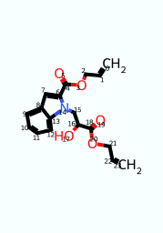 C=CCOC(=O)c1cc2ccccc2n1CC(O)C(=O)OCC=C